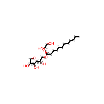 CCCCCCCCCCCC(=O)OC[C@@H](O)[C@H]1OC[C@H](O)[C@H]1O.OCCO